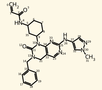 C=CC(=O)NC1CCCC(N2C(=O)N(Cc3ccccc3)Cc3cnc(Nc4cnn(C)c4)nc32)C1